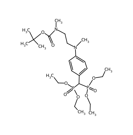 CCOP(=O)(OCC)C(c1ccc(N(C)CCN(C)C(=O)OC(C)(C)C)cc1)P(=O)(OCC)OCC